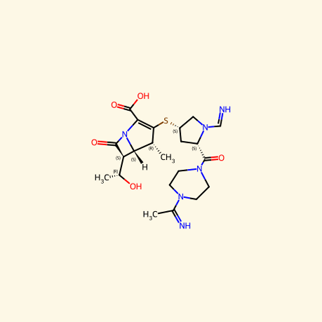 CC(=N)N1CCN(C(=O)[C@@H]2C[C@H](SC3=C(C(=O)O)N4C(=O)[C@H]([C@@H](C)O)[C@H]4[C@H]3C)CN2C=N)CC1